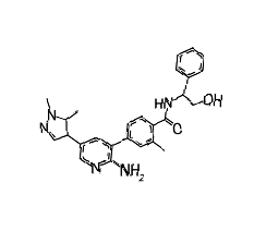 Cc1cc(-c2cc(C3C=NN(C)C3C)cnc2N)ccc1C(=O)NC(CO)c1ccccc1